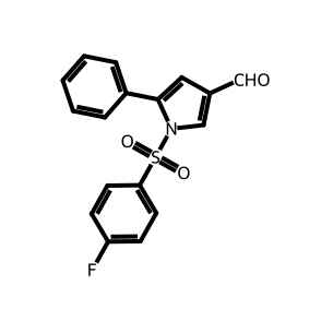 O=Cc1cc(-c2ccccc2)n(S(=O)(=O)c2ccc(F)cc2)c1